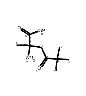 CC(C)(C)C(=O)CC(C)(N)C(=O)O